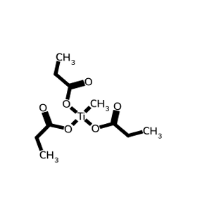 CCC(=O)[O][Ti]([CH3])([O]C(=O)CC)[O]C(=O)CC